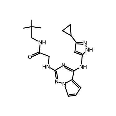 CC(C)(C)CNC(=O)CNc1nc(Nc2cc(C3CC3)n[nH]2)c2cccn2n1